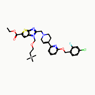 CCOC(=O)c1cc2c(nc(CN3CC=C(c4cccc(OCc5ccc(Cl)cc5F)n4)CC3)n2COCC[Si](C)(C)C)s1